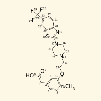 Cc1ccc(CC(=O)O)cc1OCCN1CCN(c2nc3ccc(C(F)(F)F)cc3s2)CC1